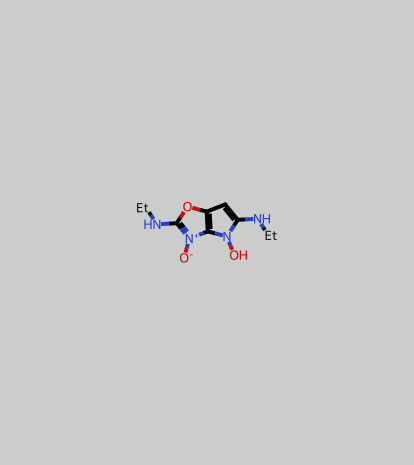 CCNc1cc2oc(NCC)[n+]([O-])c2n1O